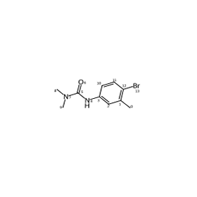 Cc1cc(NC(=O)N(C)C)ccc1Br